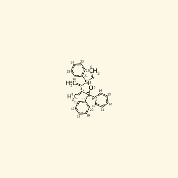 C=C[Si](C=C)(O[Si](C=C)(c1ccccc1)c1ccccc1)c1ccccc1